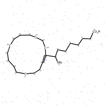 CCCCC(CCCCCCC(=O)O)/C1=C\CCCCCCCCCCCCCC1